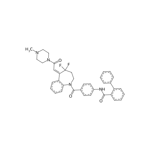 CN1CCN(C(=O)C=C2c3ccccc3N(C(=O)c3ccc(NC(=O)c4ccccc4-c4ccccc4)cc3)CCC2(F)F)CC1